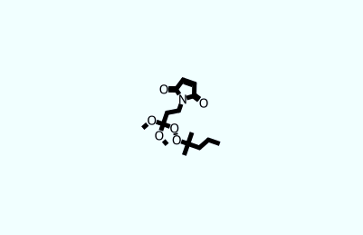 CCCC(C)(C)OOC(CCN1C(=O)C=CC1=O)(OC)OC